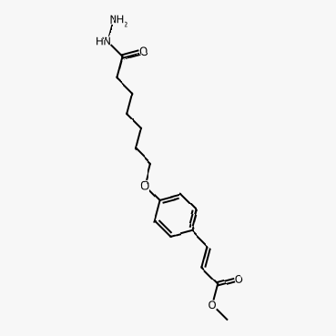 COC(=O)C=Cc1ccc(OCCCCCCC(=O)NN)cc1